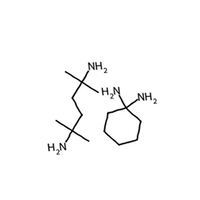 CC(C)(N)CCC(C)(C)N.NC1(N)CCCCC1